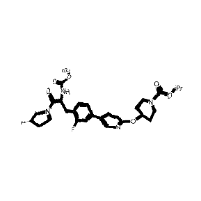 CC(C)OC(=O)N1CCC(Oc2ccc(-c3ccc(CC(NC(=O)OC(C)(C)C)C(=O)N4CC[C@H](F)C4)c(F)c3)cn2)CC1